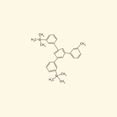 Cc1cccc(-c2cc(-c3cccc([Si](C)(C)C)c3)cc(-c3cccc([Si](C)(C)C)c3)c2)c1